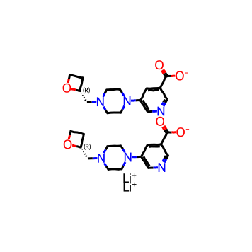 O=C([O-])c1cncc(N2CCN(C[C@H]3CCO3)CC2)c1.O=C([O-])c1cncc(N2CCN(C[C@H]3CCO3)CC2)c1.[Li+].[Li+]